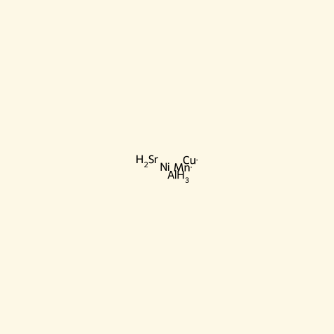 [AlH3].[Cu].[Mn].[Ni].[SrH2]